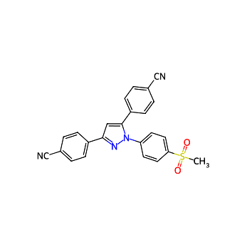 CS(=O)(=O)c1ccc(-n2nc(-c3ccc(C#N)cc3)cc2-c2ccc(C#N)cc2)cc1